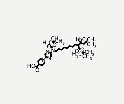 CC(C)(C)CC(=O)C(CCCCCCCCN(C(=O)OC(C)(C)C)c1cnc(N2CCC(C(=O)O)CC2)cn1)C(=O)OC(C)(C)C